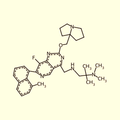 Cc1cccc2cccc(-c3ncc4c(CNCC(C)(C)N(C)C)nc(OCC56CCCN5CCC6)nc4c3F)c12